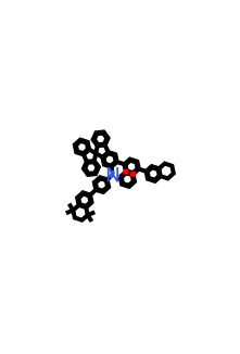 CC1(C)CCC(C)(C)c2cc(-c3ccc(N(c4ccccc4)c4cc5c(cc4-c4ccc(-c6ccc7c(c6)CCCC7)cc4)-c4ccccc4C54c5ccccc5-c5ccccc54)cc3)ccc21